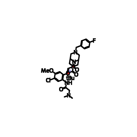 COc1cc(/C=C/C(=O)N2C3CN(Cc4ccc(F)cc4)CC2CN(C(=O)OC(C)(C)C)C3)c(NC(=O)CN(C)C)cc1Cl